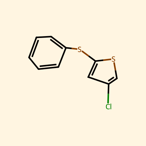 Clc1csc(Sc2ccccc2)c1